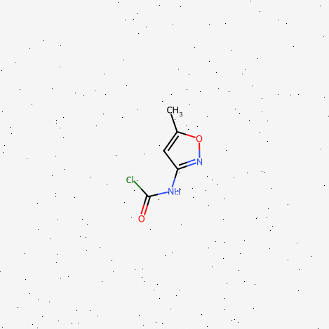 Cc1cc(NC(=O)Cl)no1